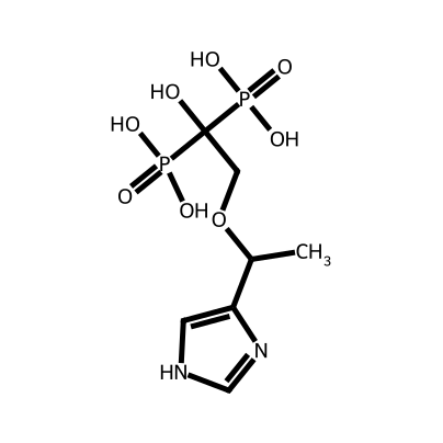 CC(OCC(O)(P(=O)(O)O)P(=O)(O)O)c1c[nH]cn1